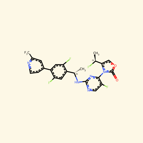 C[C@H](F)c1coc(=O)n1-c1nc(N[C@@H](C)c2cc(F)c(-c3ccnc(C(F)(F)F)c3)cc2F)ncc1F